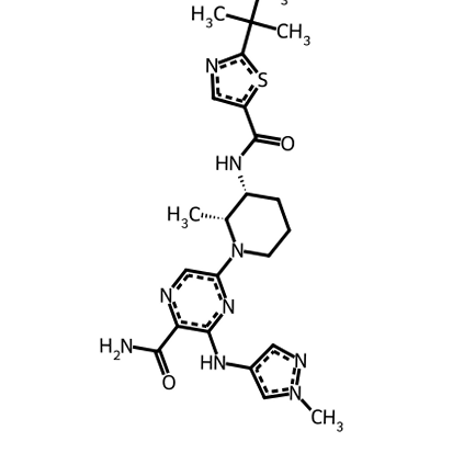 C[C@@H]1[C@H](NC(=O)c2cnc(C(C)(C)C)s2)CCCN1c1cnc(C(N)=O)c(Nc2cnn(C)c2)n1